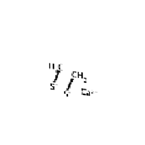 C[S-].C[S-].[Ca+2]